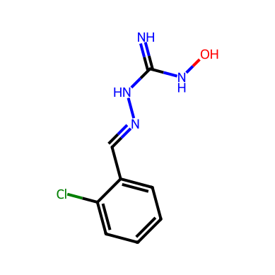 N=C(NO)NN=Cc1ccccc1Cl